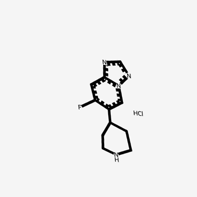 Cl.Fc1cc2ncnn2cc1C1CCNCC1